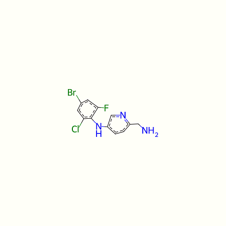 NCc1ccc(Nc2c(F)cc(Br)cc2Cl)cn1